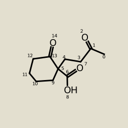 CC(=O)CCC1(C(=O)O)CCCCC1=O